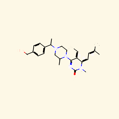 CCC\C=c1/c(N2CCN(C(C)c3ccc(CO)cc3)CC2C)nc(=O)n(C)/c1=C/C=C(\C)C#N